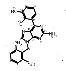 Cc1cccc(P)c1Cn1cnc2c(-c3cccc(C#N)c3C)nc(N)nc21